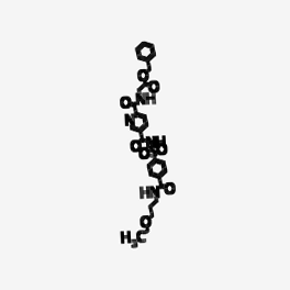 CCOCCCNC(=O)c1ccc(S(=O)(=O)NC(=O)c2ccc(C(=O)NCC(=O)OCc3ccccc3)nc2)cc1